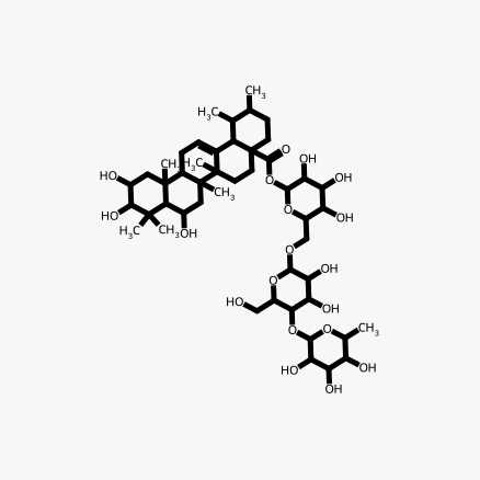 CC1CCC2(C(=O)OC3OC(COC4OC(CO)C(OC5OC(C)C(O)C(O)C5O)C(O)C4O)C(O)C(O)C3O)CCC3(C)C(=CCC4C5(C)CC(O)C(O)C(C)(C)C5C(O)CC43C)C2C1C